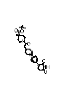 CC(C)(C)OC(=O)C1(C)CCN(C(=O)CC2CCN(c3ccc([C@@H]4CCC(=O)NC4=O)cc3)CC2)CC1